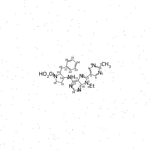 CCn1c(-c2cnc(C)nc2)nc2c(NC3CCN(C(=O)O)C3Cc3ccccc3)ncnc21